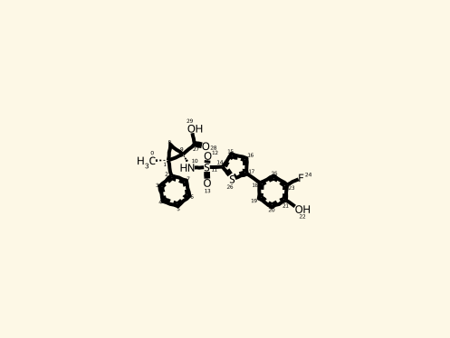 C[C@]1(c2ccccc2)C[C@@]1(NS(=O)(=O)c1ccc(-c2ccc(O)c(F)c2)s1)C(=O)O